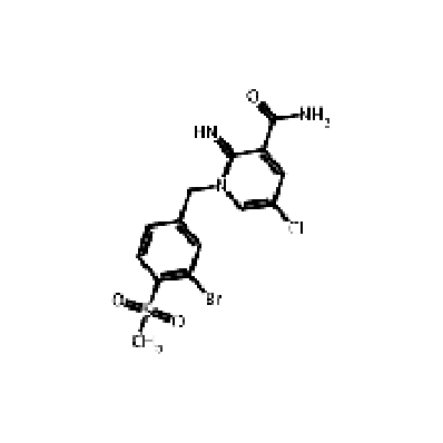 CS(=O)(=O)c1ccc(Cn2cc(Cl)cc(C(N)=O)c2=N)cc1Br